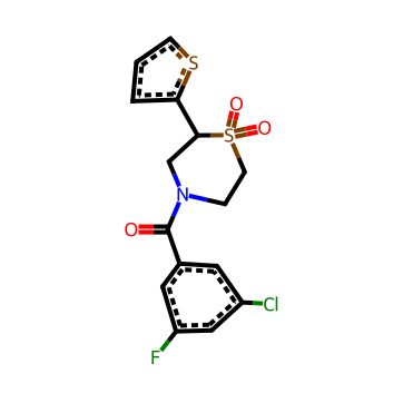 O=C(c1cc(F)cc(Cl)c1)N1CCS(=O)(=O)C(c2cccs2)C1